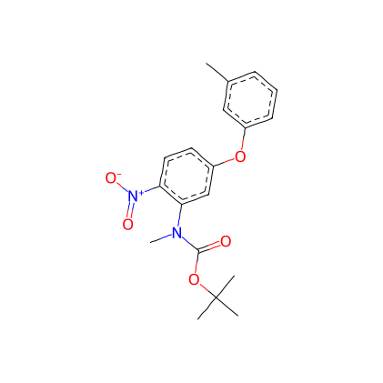 Cc1cccc(Oc2ccc([N+](=O)[O-])c(N(C)C(=O)OC(C)(C)C)c2)c1